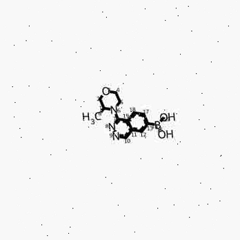 CC1COCCN1c1nncc2cc(B(O)O)ccc12